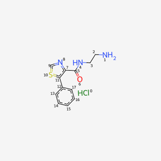 Cl.NCCNC(=O)c1ncsc1-c1ccccc1